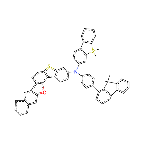 CC1(C)c2ccccc2-c2cccc(-c3ccc(N(c4ccc5c(c4)S(C)(C)c4ccccc4-5)c4ccc5c(c4)sc4ccc6c7cc8ccccc8cc7oc6c45)cc3)c21